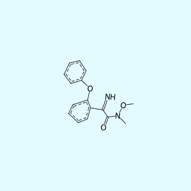 CON(C)C(=O)C(=N)c1ccccc1Oc1ccccc1